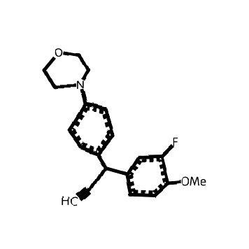 C#CC(c1ccc(N2CCOCC2)cc1)c1ccc(OC)c(F)c1